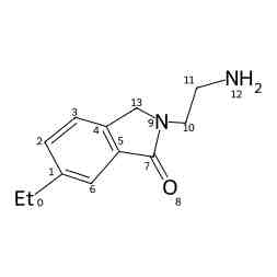 CCc1ccc2c(c1)C(=O)N(CCN)C2